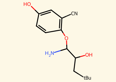 CC(C)(C)CC(O)C(N)Oc1ccc(O)cc1C#N